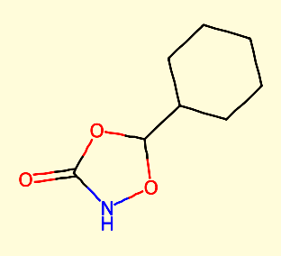 O=C1NOC(C2CCCCC2)O1